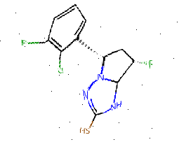 Fc1cccc([C@@H]2C[C@H](F)C3NC(S)=NN32)c1Cl